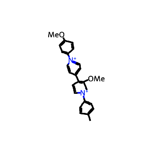 COc1ccc(-[n+]2ccc(-c3cc[n+](-c4ccc(C)cc4)cc3OC)cc2)cc1